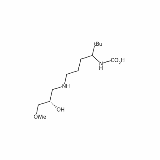 COC[C@@H](O)CNCCCC(NC(=O)O)C(C)(C)C